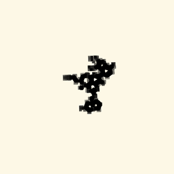 CN1c2nc(OC[C@@]34CCCN3C[C@H](F)C4)nc3c(F)c(-c4ccc(F)c5sc(N)c(C#N)c45)nc(c23)OC[C@@H]1CCO